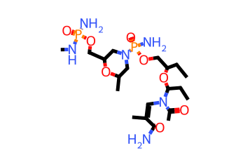 CCC(COP(N)(=O)N1CC(C)OC(COP(N)(=O)NC)C1)OC(CC)N(/C=C(/C)C(N)=O)C(C)=O